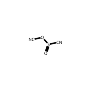 N#COS(=O)C#N